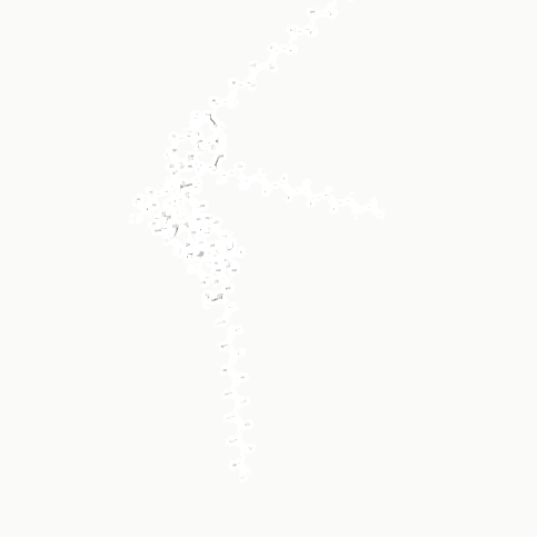 CCCCCCCCCCCCCCCC(=O)O[C@H]1[C@H](OC(=O)[C@]23CCC(C)(C)C[C@H]2C2=CC[C@@H]4[C@@]5(C)CC[C@H](OC(=O)CCCCCCCCCCCCCCC)C(C)(C)[C@@H]5CC[C@@]4(C)[C@]2(C)CC3)OC[C@H](OC(=O)CCCCCCCCCCCCCCC)[C@@H]1O